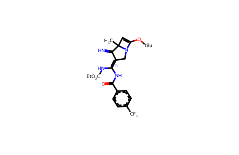 CCOC(=O)N/C(NC(=O)c1ccc(C(F)(F)F)cc1)=C1/CN2C(OC(C)(C)C)=CC2(C)C1=N